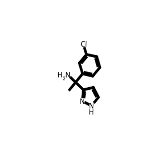 CC(N)(c1cccc(Cl)c1)c1cc[nH]n1